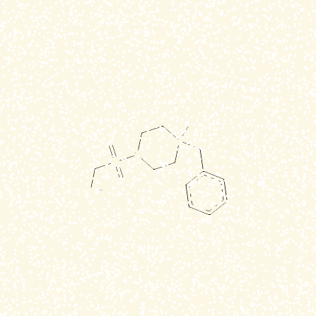 CCCCCCCCCCCS(=O)(=O)N1CC[N+](C)(Cc2ccccc2)CC1.[Br-]